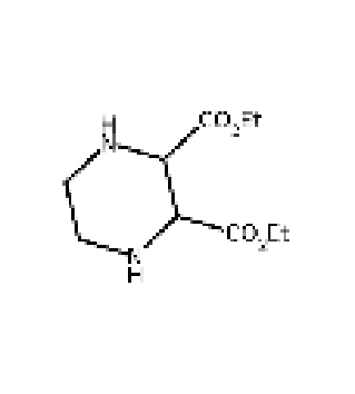 CCOC(=O)C1NCCNC1C(=O)OCC